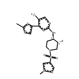 Cc1ncc(-c2nc(N[C@@H]3CCN(S(=O)(=O)c4cnn(C)c4)C[C@H]3F)ncc2C(F)(F)F)s1